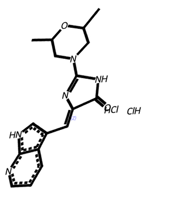 CC1CN(C2=N/C(=C\c3c[nH]c4ncccc34)C(=O)N2)CC(C)O1.Cl.Cl